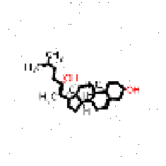 CC(C)CC[C@@H](O)[C@@H](C)C1CC[C@H]2C3CC=C4C[C@@H](O)CC[C@]4(C)[C@H]3CC[C@]12C